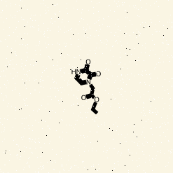 CCOC(=O)Cn1cc[nH]c(=O)c1=O